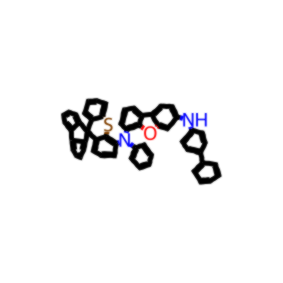 c1ccc(-c2ccc(Nc3ccc4c(c3)oc3c(N(c5ccccc5)c5cccc6c5Sc5ccccc5C65c6ccccc6-c6ccccc65)cccc34)cc2)cc1